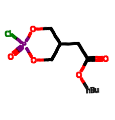 CCCCOC(=O)CC1COP(=O)(Cl)OC1